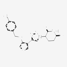 O=C1CCC(n2cc(-c3cscc3OCc3ccc(Cl)cc3)nn2)C(=O)N1